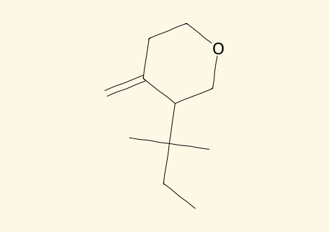 C=C1CCOCC1C(C)(C)CC